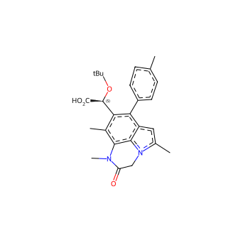 Cc1ccc(-c2c([C@H](OC(C)(C)C)C(=O)O)c(C)c3c4c2cc(C)n4CC(=O)N3C)cc1